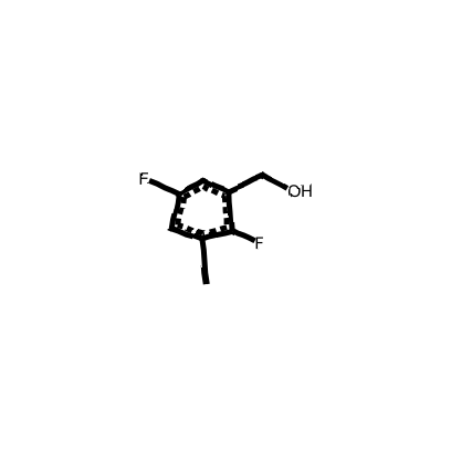 Cc1cc(F)cc(CO)c1F